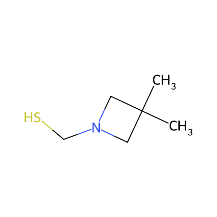 CC1(C)CN(CS)C1